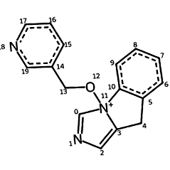 C1=NC=C2Cc3ccccc3[N+]12OCc1cccnc1